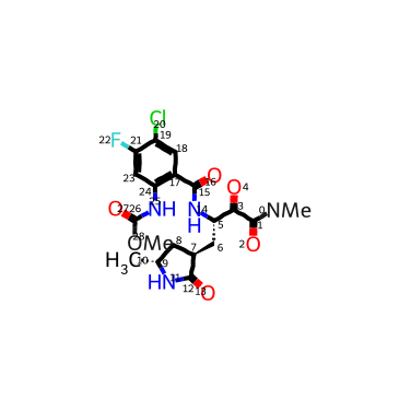 CNC(=O)C(=O)[C@H](C[C@@H]1C[C@@H](C)NC1=O)NC(=O)c1cc(Cl)c(F)cc1NC(=O)OC